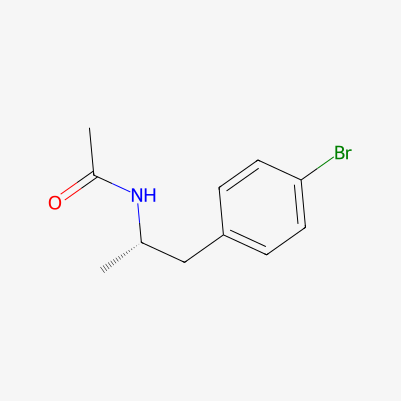 CC(=O)N[C@@H](C)Cc1ccc(Br)cc1